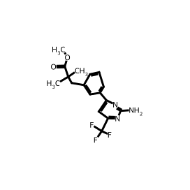 COC(=O)C(C)(C)Cc1cccc(-c2cc(C(F)(F)F)nc(N)n2)c1